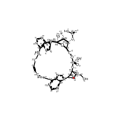 O=[PH](S)O[C@@H]1C2CO[P@](=O)(S)O[C@@H]3[C@@H](CO)OC([C@@H]3F)n3cnc4c(ncnc43)NCC#CCNc3ncnc4c3ncn4[C@H](O2)[C@@H]1F